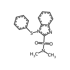 CN(C)S(=O)(=O)c1nc2ccccc2n1Sc1ccccc1